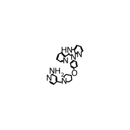 Nc1cc(CN2CCC(Oc3ccc(N4c5ncccc5NC4c4ccccn4)cc3)CC2)ccn1